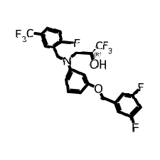 O[C@H](CN(Cc1cc(C(F)(F)F)ccc1F)c1cccc(OCc2cc(F)cc(F)c2)c1)C(F)(F)F